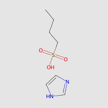 CCCCS(=O)(=O)O.c1c[nH]cn1